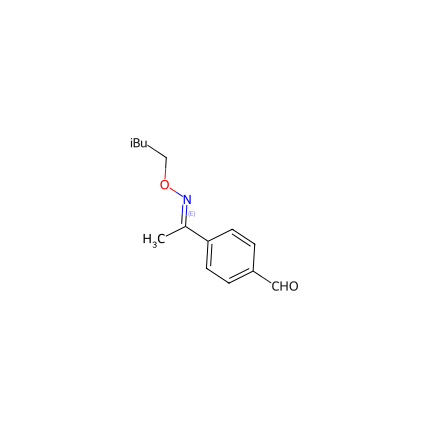 CCC(C)CO/N=C(\C)c1ccc(C=O)cc1